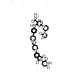 CN1CCN(C2CCCN(c3nnc(C(N)=O)c(Nc4ccc(C5CCN(CC6(F)CCN(c7ccc8c(c7)C(=O)N(C7CCC(=O)NC7=O)C8=O)CC6)CC5)cc4)n3)C2)C1=O